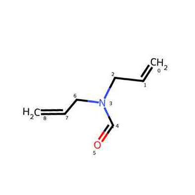 C=CCN([C]=O)CC=C